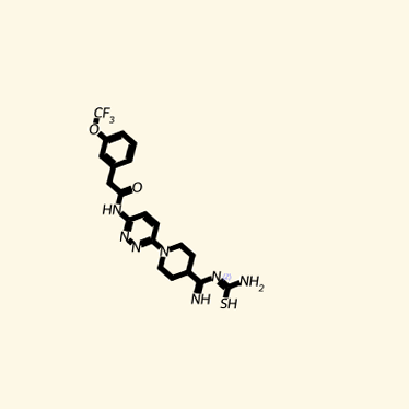 N=C(/N=C(/N)S)C1CCN(c2ccc(NC(=O)Cc3cccc(OC(F)(F)F)c3)nn2)CC1